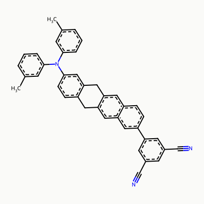 Cc1cccc(N(c2cccc(C)c2)c2ccc3c(c2)Cc2cc4ccc(-c5cc(C#N)cc(C#N)c5)cc4cc2C3)c1